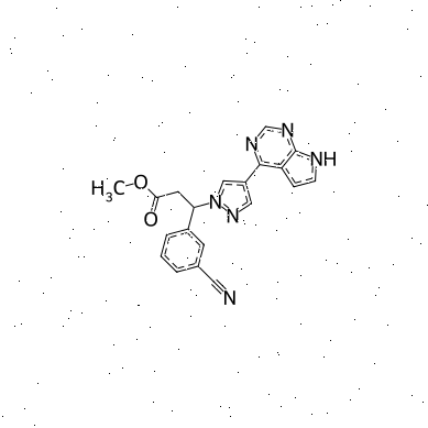 COC(=O)CC(c1cccc(C#N)c1)n1cc(-c2ncnc3[nH]ccc23)cn1